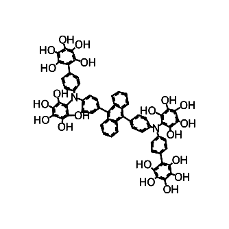 Oc1c(O)c(O)c(-c2ccc(N(c3ccc(-c4c5ccccc5c(-c5ccc(N(c6ccc(-c7c(O)c(O)c(O)c(O)c7O)cc6)c6c(O)c(O)c(O)c(O)c6O)cc5)c5ccccc45)cc3)c3c(O)c(O)c(O)c(O)c3O)cc2)c(O)c1O